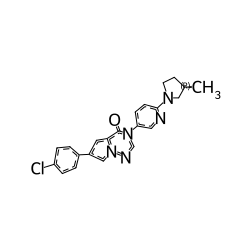 C[C@@H]1CCN(c2ccc(-n3cnn4cc(-c5ccc(Cl)cc5)cc4c3=O)cn2)C1